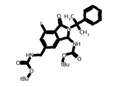 CC(C)(C)OC(=O)NCc1cc(I)c2c(c1)C(NC(=O)OC(C)(C)C)N(C(C)(C)c1ccccc1)C2=O